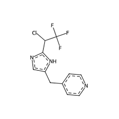 FC(F)(F)C(Cl)c1ncc(Cc2ccncc2)[nH]1